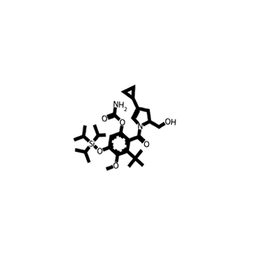 COc1c(O[Si](C(C)C)(C(C)C)C(C)C)cc(OC(N)=O)c(C(=O)N2C=C(C3CC3)CC2CO)c1C(C)(C)C